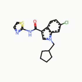 O=C(Nc1nccs1)c1cn(CC2CCCC2)c2cc(Cl)ccc12